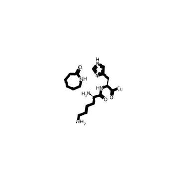 NCCCC[C@H](N)C(=O)N[C@@H](Cc1c[nH]cn1)[C](=O)[Cu].O=C1CCCCCN1